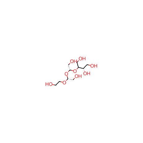 OCCO[C@@H](CO)O[C@H](CO)OC(CO)[C@@H](O)CO